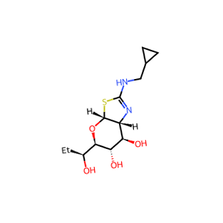 CC[C@H](O)[C@H]1O[C@@H]2SC(NCC3CC3)=N[C@@H]2[C@@H](O)[C@@H]1O